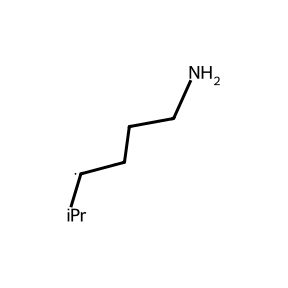 CC(C)[CH]CCCN